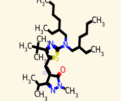 CCCCC(CC)CN(CC(CC)CCCC)c1nc(C(C)(C)C)c(/C=C2\C(=O)N(C)N=C2C(C)C)s1